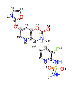 CNS(=O)(=O)Nc1nccc(CN2C(=O)Oc3cc(Oc4ncco4)cnc3C2C)c1F